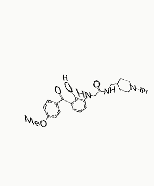 COc1ccc(C(=O)c2cccc(NCC(=O)NCC3CCN(C(C)C)CC3)c2O)cc1